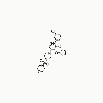 O=c1c(OC2CCCC2)c(N2CCN(S(=O)(=O)N3CCOCC3)CC2)cnn1-c1cccc(Cl)c1